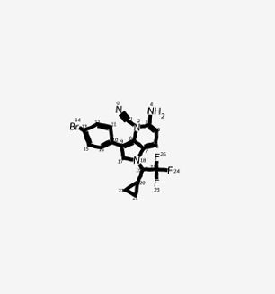 N#CN1C(N)=CC=C2C1=C(c1ccc(Br)cc1)CN2C(C1CC1)C(F)(F)F